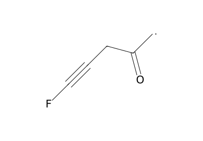 [CH2]C(=O)CC#CF